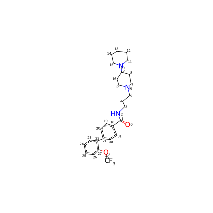 O=C(NCCCN1CCC(N2CCCCC2)CC1)c1ccc(-c2ccccc2OC(F)(F)F)cc1